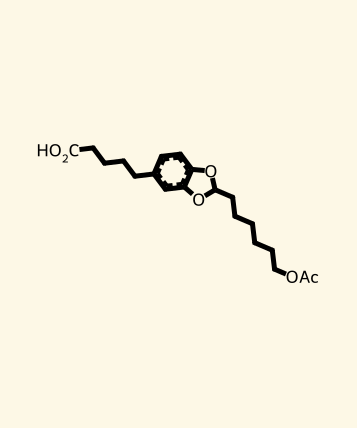 CC(=O)OCCCCCCC1Oc2ccc(CCCCC(=O)O)cc2O1